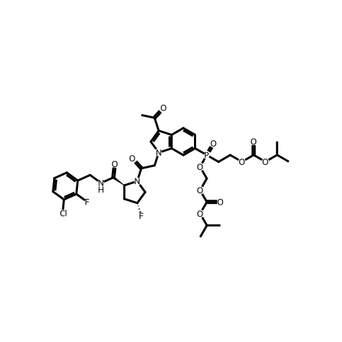 CC(=O)c1cn(CC(=O)N2C[C@H](F)C[C@H]2C(=O)NCc2cccc(Cl)c2F)c2cc(P(=O)(CCOC(=O)OC(C)C)OCOC(=O)OC(C)C)ccc12